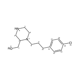 OCC1CNCCN1CCCc1ccc(Cl)cc1